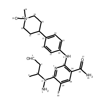 CC(CC=O)N(N)c1nc(Nc2ccc(C3CC[N+](C)([O-])CC3)cc2)c(C(N)=O)cc1F